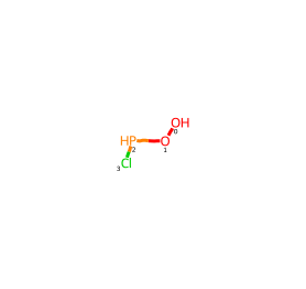 OOPCl